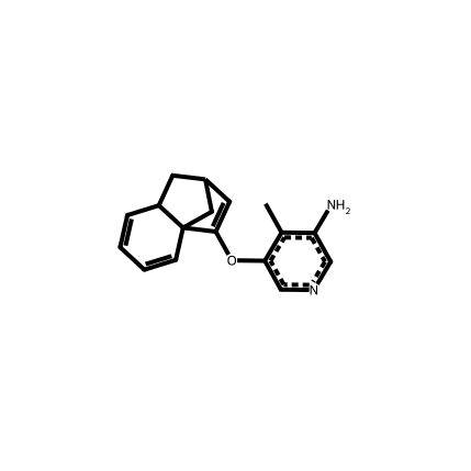 Cc1c(N)cncc1OC1=CC2CC3C=CC=CC13C2